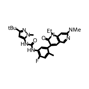 CCn1c(=O)c(-c2cc(NC(=O)Nc3cc(C(C)(C)C)nn3C)c(F)cc2C)cc2cnc(NC)cc21